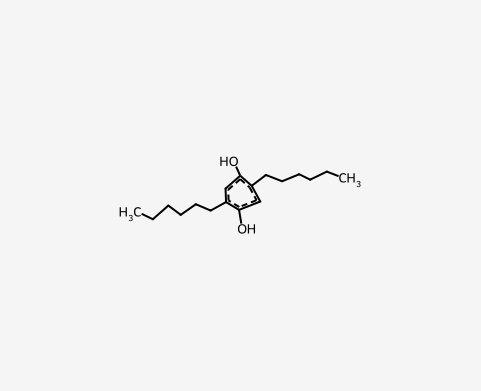 CCCCCCc1cc(O)c(CCCCCC)cc1O